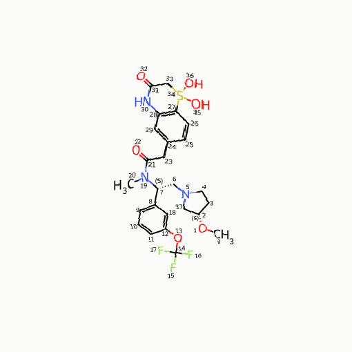 CO[C@H]1CCN(C[C@H](c2cccc(OC(F)(F)F)c2)N(C)C(=O)Cc2ccc3c(c2)NC(=O)CS3(O)O)C1